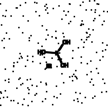 OB(O)O.[Bi]